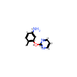 Cc1ccc(N)cc1Oc1ncccn1